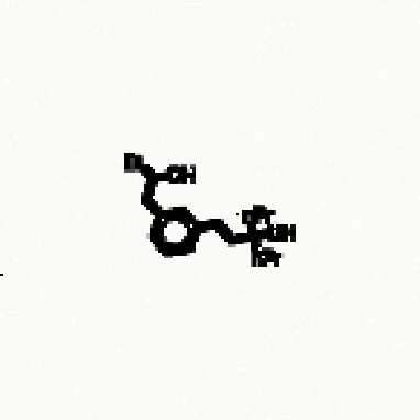 CCCC(O)(CCC)CCc1cccc(CC(O)CC)c1